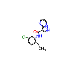 CCc1ccc(Cl)cc1NC(=O)c1cnn2cccnc12